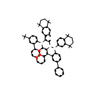 CC(C)(C)c1ccc(N2c3cc4ccccc4c4c3B(c3oc5cc6c(cc5c32)C(C)(C)CCC6(C)C)N(c2ccc3c(c2)C(C)(C)CCC3(C)C)c2ccc(-c3ccccc3)cc2-4)c(-c2ccccc2)c1